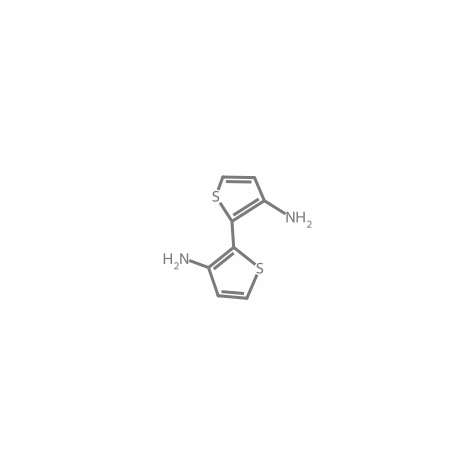 Nc1ccsc1-c1sccc1N